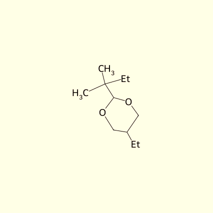 CCC1COC(C(C)(C)CC)OC1